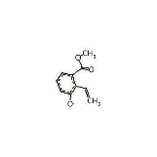 C=Cc1c([O])cccc1C(=O)OC